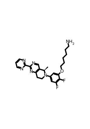 C[C@@H]1c2cnc(-c3ncccn3)nc2CCN1c1cc(F)c(F)c(OCCCCCCN)c1